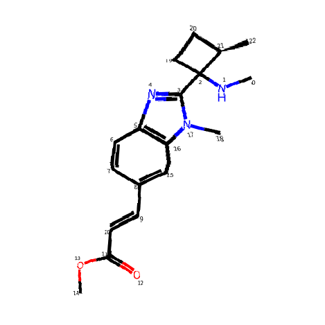 CNC1(c2nc3ccc(/C=C/C(=O)OC)cc3n2C)CC[C@H]1C